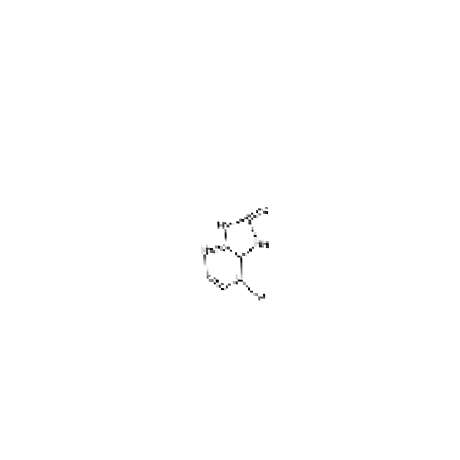 CC(C)c1ccnc2[nH]c(=O)[nH]c12